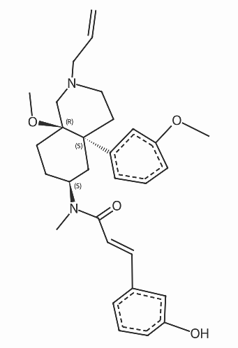 C=CCN1CC[C@@]2(c3cccc(OC)c3)C[C@@H](N(C)C(=O)C=Cc3cccc(O)c3)CC[C@]2(OC)C1